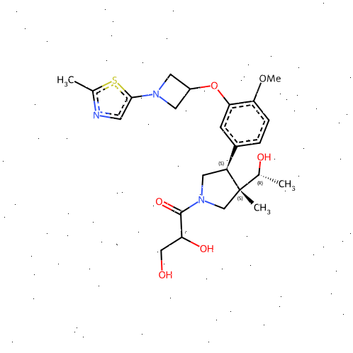 COc1ccc([C@@H]2CN(C(=O)C(O)CO)C[C@@]2(C)[C@@H](C)O)cc1OC1CN(c2cnc(C)s2)C1